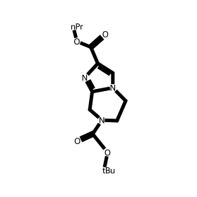 CCCOC(=O)c1cn2c(n1)CN(C(=O)OC(C)(C)C)CC2